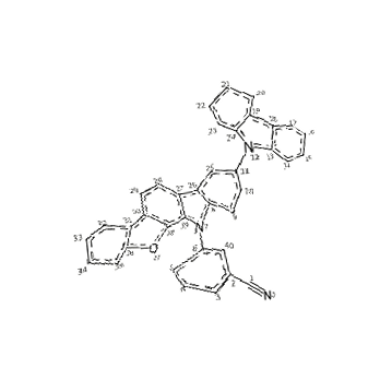 N#Cc1cccc(-n2c3ccc(-n4c5ccccc5c5ccccc54)cc3c3ccc4c5ccccc5oc4c32)c1